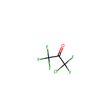 O=C(C(F)(F)F)C(F)(F)Cl